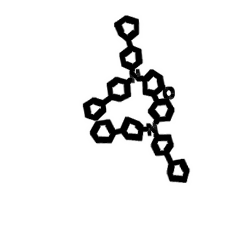 c1ccc(-c2ccc(N(c3ccc(-c4ccccc4)cc3)c3ccc4oc5ccc(N(c6ccc(-c7ccccc7)cc6)c6ccc(-c7ccccc7)cc6)cc5c4c3)cc2)cc1